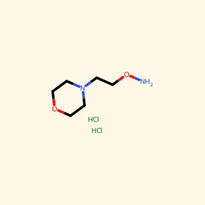 Cl.Cl.NOCCN1CCOCC1